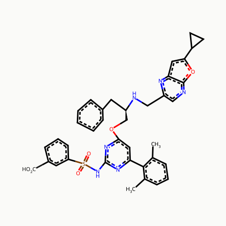 Cc1cccc(C)c1-c1cc(OC[C@@H](Cc2ccccc2)NCc2cnc3oc(C4CC4)cc3n2)nc(NS(=O)(=O)c2cccc(C(=O)O)c2)n1